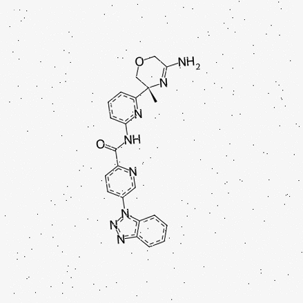 C[C@@]1(c2cccc(NC(=O)c3ccc(-n4nnc5ccccc54)cn3)n2)COCC(N)=N1